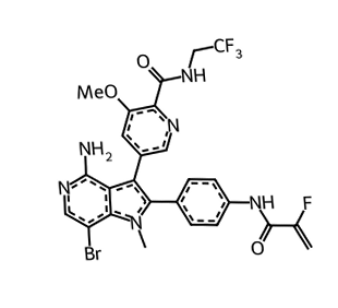 C=C(F)C(=O)Nc1ccc(-c2c(-c3cnc(C(=O)NCC(F)(F)F)c(OC)c3)c3c(N)ncc(Br)c3n2C)cc1